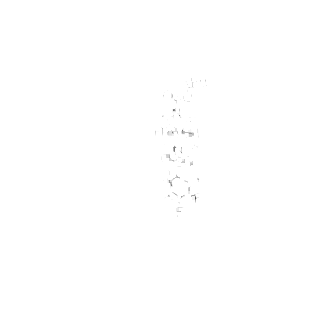 CC(C)(C)OC(=O)N1C[C@@H]2CN(S(=O)(=O)c3ccc(F)c(F)c3)C[C@@H]2C1